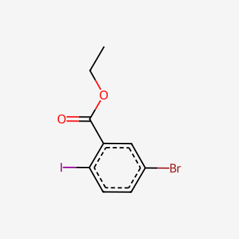 CCOC(=O)c1cc(Br)ccc1I